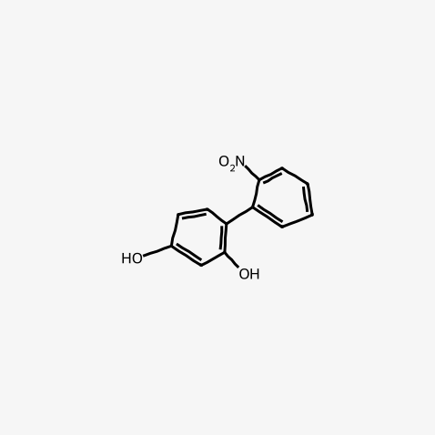 O=[N+]([O-])c1ccccc1-c1ccc(O)cc1O